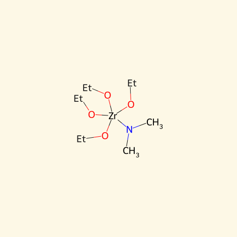 CC[O][Zr]([O]CC)([O]CC)([O]CC)[N](C)C